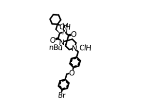 CCCCN1C(=O)[C@@H](CC2(O)CCCCC2)NC(=O)C12CCN(Cc1ccc(OCc3ccc(Br)cc3)cc1)CC2.Cl